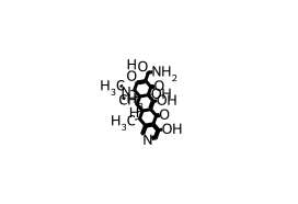 C[C@H]1c2cncc(O)c2C(=O)C2=C(O)[C@]3(O)C(=O)C(C(N)=O)=C(O)[C@@H](N(C)C)[C@@H]3C[C@@H]21